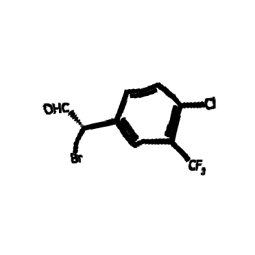 O=C[C@@H](Br)c1ccc(Cl)c(C(F)(F)F)c1